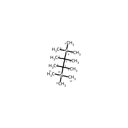 CC(C)(C(C)(C)[Si](C)(C)C)[Si](C)(C)C